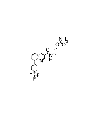 CC(CCOC(N)=O)NC(=O)c1cnc2c(C3=CC[C@@H](C(F)(F)F)CC3)cccc2c1